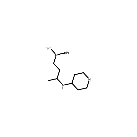 CCCN(CCC)CCC(C)NC1CC[N]CC1